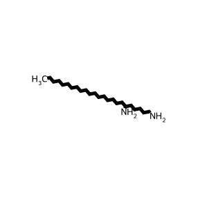 CCCCCCCCCCCCCCCCCCC(N)CCCCCN